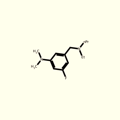 CCCN(CC)Cc1cc(F)cc(N(C)C)c1